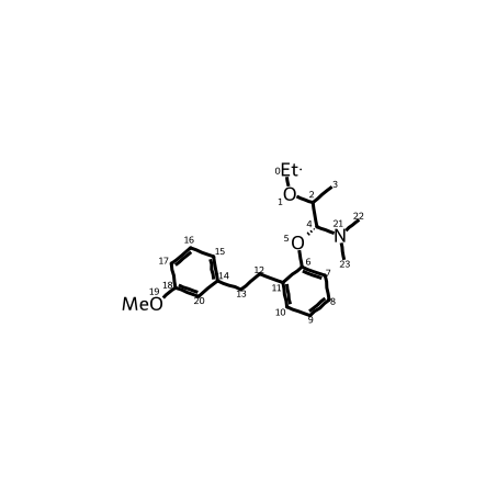 C[CH]OC(C)[C@@H](Oc1ccccc1CCc1cccc(OC)c1)N(C)C